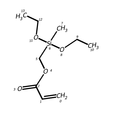 C=CC(=O)OC[Si](C)(OCC)OCC